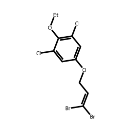 CCOc1c(Cl)cc(OCC=C(Br)Br)cc1Cl